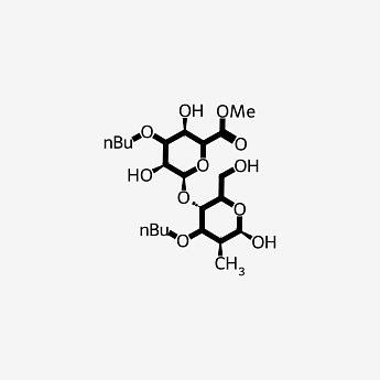 CCCCOC1[C@H](O[C@@H]2OC(C(=O)OC)[C@H](O)C(OCCCC)[C@@H]2O)C(CO)O[C@@H](O)[C@H]1C